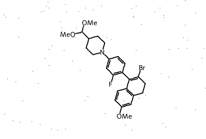 COc1ccc2c(c1)CCC(Br)=C2c1ccc(N2CCC(C(OC)OC)CC2)cc1F